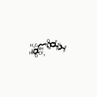 C[C@@H](CCCn1cnc2cc(-c3ncc(C(F)F)cn3)c(F)cc2c1=O)Nc1cn[nH]c(=O)c1C(F)(F)F